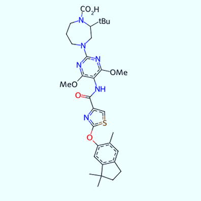 COc1nc(N2CCCN(C(=O)O)C(C(C)(C)C)C2)nc(OC)c1NC(=O)c1csc(Oc2cc3c(cc2C)CCC3(C)C)n1